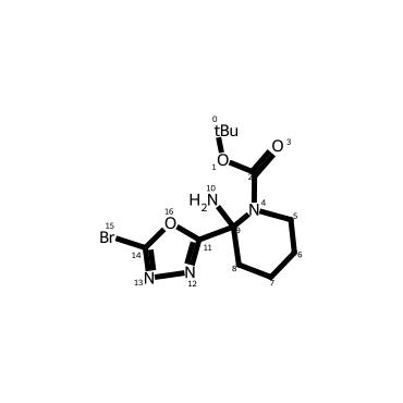 CC(C)(C)OC(=O)N1CCCCC1(N)c1nnc(Br)o1